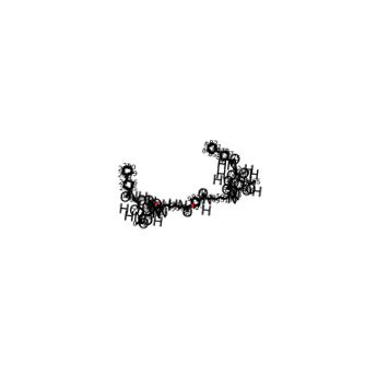 CC(=O)NC1[C@H]([C@H](O)[C@H](O)CNC(=O)c2ccc(-c3ccccc3)cc2)O[C@](C(=O)O)(n2cc(CCCCNC(=O)c3ccc(C(=O)NCCCCc4cn([C@]5(C(=O)O)C[C@H](O)[C@@H](NC(C)=O)[C@H]([C@H](O)[C@H](O)CNC(=O)c6ccc(-c7ccccc7)cc6)O5)nn4)cc3)nn2)C[C@@H]1O